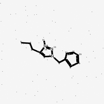 CCCc1cn(Cc2ccccc2)n[n+]1C